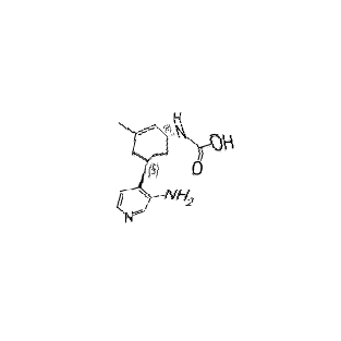 CC1=C[C@H](NC(=O)O)C[C@@H](c2ccncc2N)C1